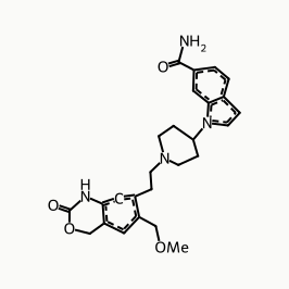 COCc1cc2c(cc1CCN1CCC(n3ccc4ccc(C(N)=O)cc43)CC1)NC(=O)OC2